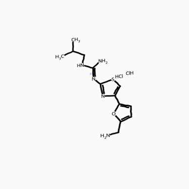 CC(C)CN/C(N)=N/c1nc(-c2ccc(CN)o2)cs1.Cl.Cl